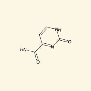 [NH]C(=O)c1cc[nH]c(=O)n1